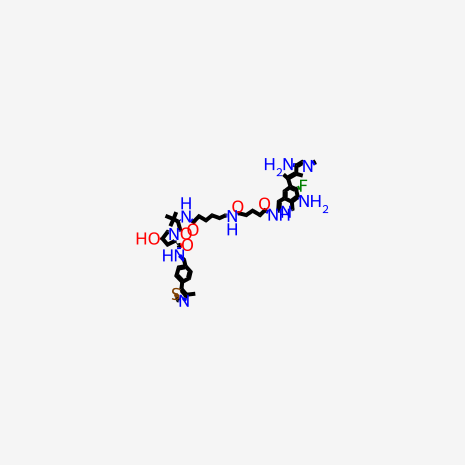 C=N/C=C(N)\C(C)=C(/C)c1cc2cc(NC(=O)CCCC(=O)NCCCCCC(=O)N[C@H](C(=O)N3C[C@H](O)C[C@H]3C(=O)NCc3ccc(-c4scnc4C)cc3)C(C)(C)C)ncc2c(N)c1F